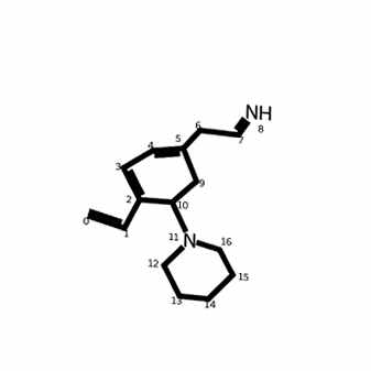 C=CC1=CC=C(CC=N)CC1N1CCCCC1